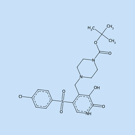 CC(C)(C)OC(=O)N1CCN(Cc2c(S(=O)(=O)c3ccc(Cl)cc3)c[nH]c(=O)c2O)CC1